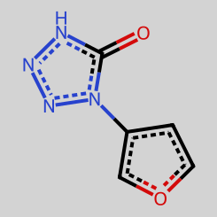 O=c1[nH]nnn1-c1ccoc1